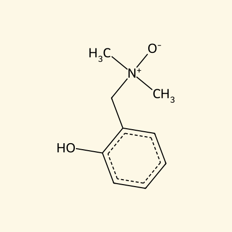 C[N+](C)([O-])Cc1ccccc1O